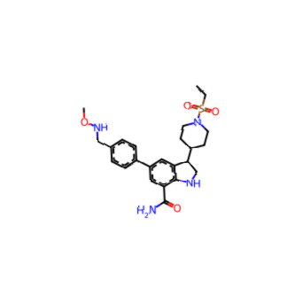 CCS(=O)(=O)N1CCC(C2CNc3c(C(N)=O)cc(-c4ccc(CNOC)cc4)cc32)CC1